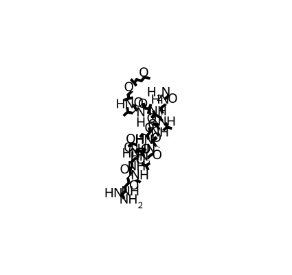 CC[C@H](NC(=O)[C@H](C)NC(=O)[C@H](CC(C)C)NC(=O)[C@H](CC(=O)O)NC(=O)CNC(=O)[C@H](CCCNC(=N)N)NC(C)=O)C(=O)N[C@@H](CC(C)C)C(=O)N[C@@H](CCCNC(N)=O)C(=O)NC(C)(C)C(=O)N[C@@H](CC(C)C)C(=O)NC(C)(C)CCOC(C)(C)CCC(C)=O